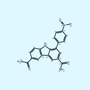 NC(=O)c1ccc2[nH]c3c(-c4ccc([N+](=O)[O-])cc4)cc(C(N)=O)cc3c2c1